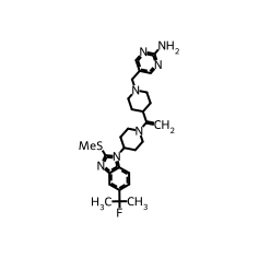 C=C(C1CCN(Cc2cnc(N)nc2)CC1)N1CCC(n2c(SC)nc3cc(C(C)(C)F)ccc32)CC1